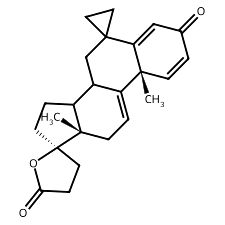 C[C@]12C=CC(=O)C=C1C1(CC1)CC1C2=CC[C@@]2(C)C1CC[C@@]21CCC(=O)O1